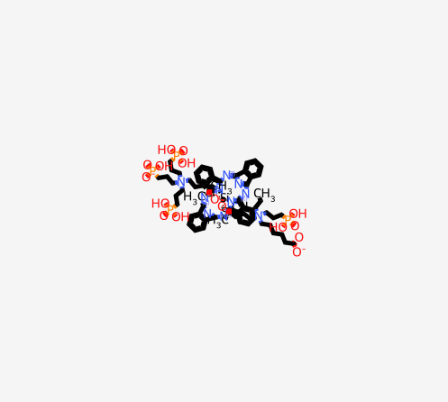 CCC[N+](CCCCCC(=O)[O-])(CCC[Si](C)(C)O[Si]1(O[Si](C)(C)CCC[N+](CCCP(=O)([O-])O)(CCCP(=O)(O)O)CCCP(=O)(O)O)n2c3c4ccccc4c2/N=C2N=C(/N=c4/c5ccccc5/c(n41)=N/C1=NC(=N\3)/c3ccccc31)c1ccccc1\2)CCCP(=O)(O)O